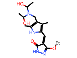 CCOC1=NNC(=O)C1=Cc1[nH]c(C)c(CN(C(C)O)C(C)O)c1C